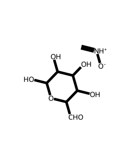 C=[NH+][O-].O=CC1OC(O)C(O)C(O)C1O